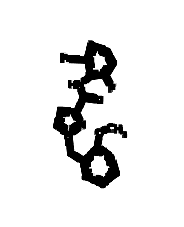 COc1ccccc1Cn1ccc(C(=O)Nc2c(F)cccc2F)n1